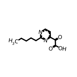 CCCCCc1nccc(C(=O)C(=O)O)n1